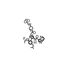 CC(C)Sc1ccc(OC(F)F)c(-c2nn(CC(=O)N3CCC(N(C)CC4OCCO4)CC3)cc2NC(=O)c2cnn3cccnc23)c1